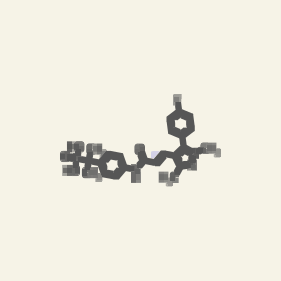 Cc1nn(C)c(-c2ccc(F)cc2)c1/C=C/C(=O)Nc1ccc(C(C)(C)P(=O)(O)O)cc1